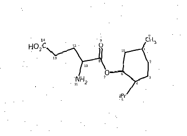 CC1CCC(C(C)C)C(OC(=O)C(N)CCC(=O)O)C1